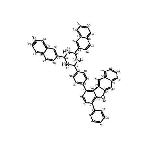 c1ccc(-c2ccc(-c3ccc(C4NC(c5ccc6ccccc6c5)NC(c5ccc6ccccc6c5)N4)cc3)c3c2oc2cc4ccccc4cc23)cc1